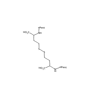 CCCCCNC(CCSSCCC(NCCCCC)C(=O)O)C(=O)O